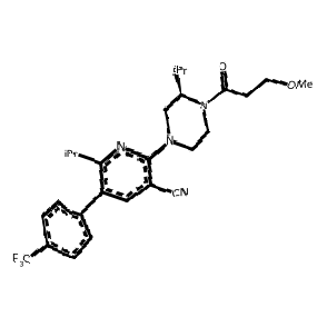 COCCC(=O)N1CCN(c2nc(C(C)C)c(-c3ccc(C(F)(F)F)cc3)cc2C#N)C[C@H]1C(C)C